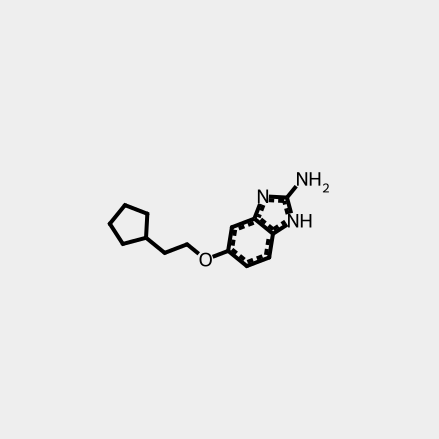 Nc1nc2cc(OCCC3CCCC3)ccc2[nH]1